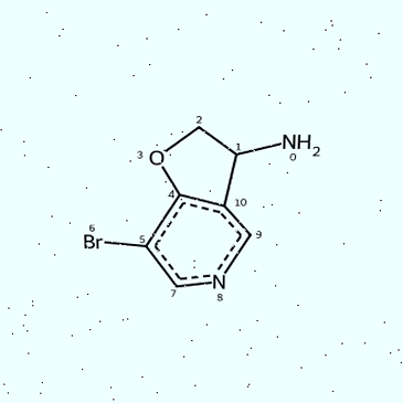 NC1COc2c(Br)cncc21